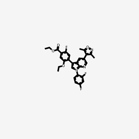 CCOC(=O)c1cc(OCC)c(-c2cn(-c3ccc(F)cc3F)c3ncc(-c4c(C)noc4C)cc23)cc1F